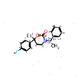 CCC1(c2ccc(F)cc2)CCN([C@@H](C)c2ccccc2)C(=O)O1